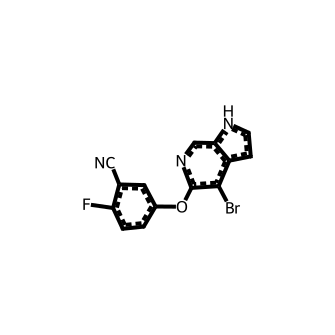 N#Cc1cc(Oc2ncc3[nH]ccc3c2Br)ccc1F